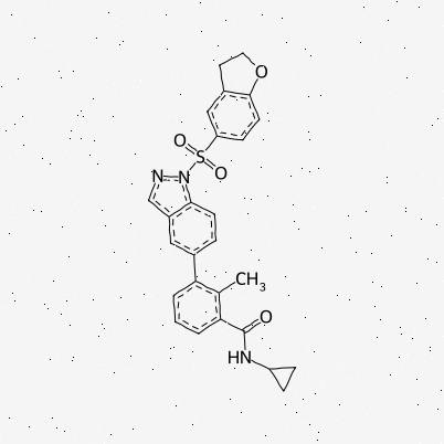 Cc1c(C(=O)NC2CC2)cccc1-c1ccc2c(cnn2S(=O)(=O)c2ccc3c(c2)CCO3)c1